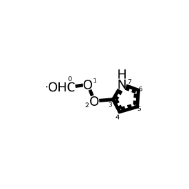 O=[C]OOc1ccc[nH]1